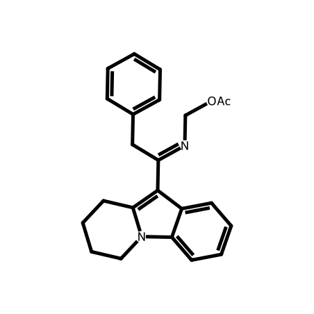 CC(=O)OC/N=C(\Cc1ccccc1)c1c2n(c3ccccc13)CCCC2